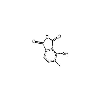 Cc1ccc2c(c1S)C(=O)OC2=O